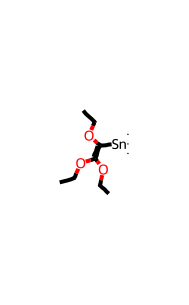 CCO[C]([Sn])=C(OCC)OCC